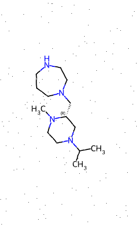 CC(C)N1CCN(C)[C@H](CN2CCCNCC2)C1